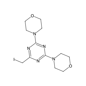 ICc1nc(N2CCOCC2)nc(N2CCOCC2)n1